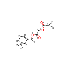 CC(OC(=O)COC(=O)C1CC1)C1=CCCC(C)(C)C1